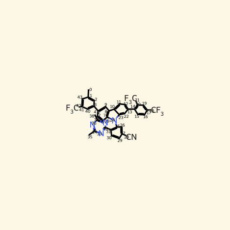 Cc1cc(-c2ccc3c(c2)c2ccc(-c4ccc(C(F)(F)F)cc4C(F)(F)F)cc2n3-c2cc(C#N)ccc2-c2nc(C)nc(C)n2)cc(C(F)(F)F)c1